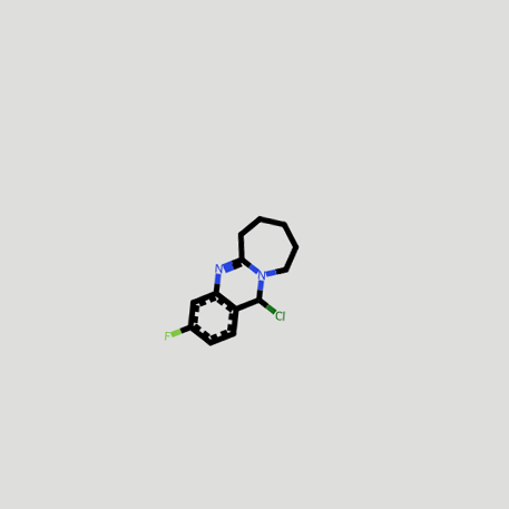 Fc1ccc2c(c1)N=C1CCCCCN1C2Cl